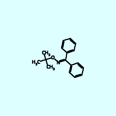 CC(C)(C)ON=C(c1ccccc1)c1ccccc1